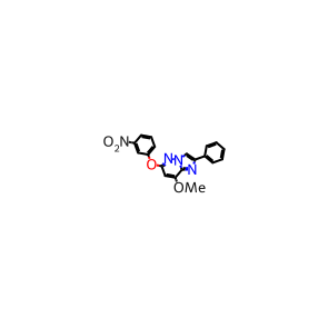 COc1cc(Oc2cccc([N+](=O)[O-])c2)nn2cc(-c3ccccc3)nc12